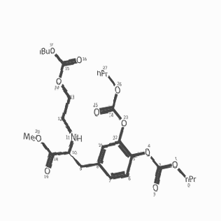 CCCOC(=O)Oc1ccc(C[C@H](NCCOC(=O)OCC(C)C)C(=O)OC)cc1OC(=O)OCCC